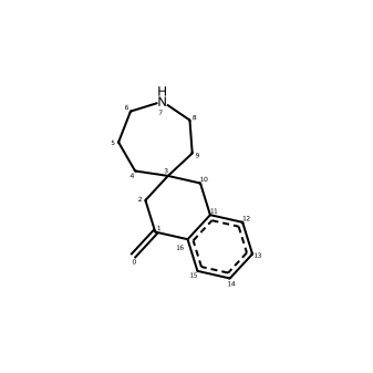 C=C1CC2(CCCNCC2)Cc2ccccc21